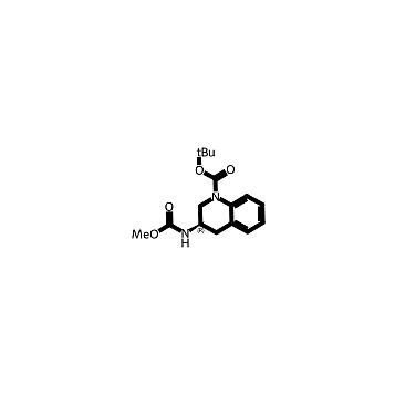 COC(=O)N[C@@H]1Cc2ccccc2N(C(=O)OC(C)(C)C)C1